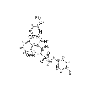 CCOc1cccc(-c2nnc(NS(=O)(=O)[C@@H](C)Cc3ncc(F)cn3)n2-c2c(OC)cccc2OC)n1